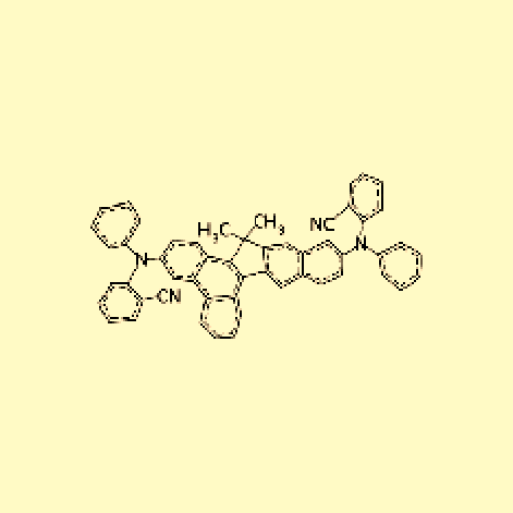 CC1(C)c2cc3cc(N(c4ccccc4)c4ccccc4C#N)ccc3cc2-c2c1c1ccc(N(c3ccccc3)c3ccccc3C#N)cc1c1ccccc21